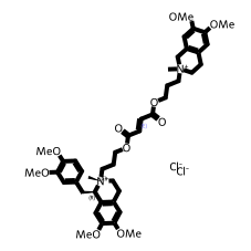 COc1ccc(C[C@@H]2c3cc(OC)c(OC)cc3CC[N@@+]2(C)CCCOC(=O)/C=C/C(=O)OCCC[N+]2(C)CCc3cc(OC)c(OC)cc3C2)cc1OC.[Cl-].[Cl-]